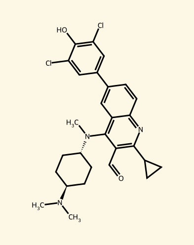 CN(C)[C@H]1CC[C@H](N(C)c2c(C=O)c(C3CC3)nc3ccc(-c4cc(Cl)c(O)c(Cl)c4)cc23)CC1